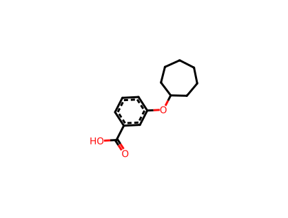 O=C(O)c1cccc(OC2CCCCCC2)c1